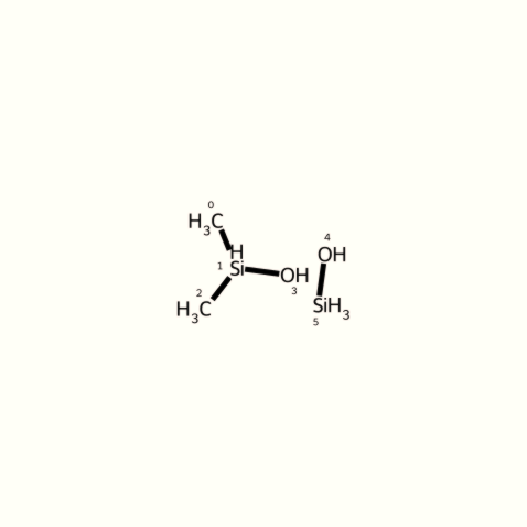 C[SiH](C)O.O[SiH3]